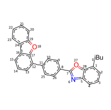 CCC(C)c1cccc2nc(-c3ccc(-c4cccc5c4oc4ccccc45)cc3)oc12